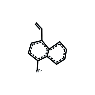 C=Cc1ccc(CCC)c2ccccc12